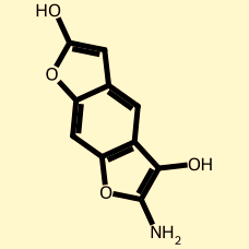 Nc1oc2cc3oc(O)cc3cc2c1O